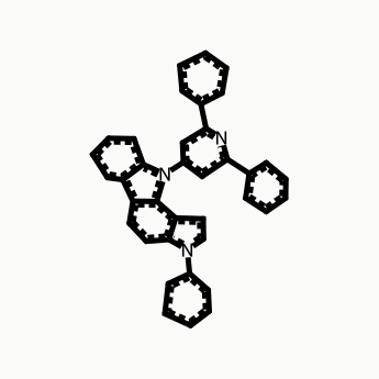 c1ccc(-c2cc(-n3c4ccccc4c4ccc5c(ccn5-c5ccccc5)c43)cc(-c3ccccc3)n2)cc1